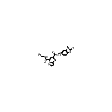 CC(C)CNC(=O)c1cc(C(=O)NCc2ccc3oc(=O)n(C)c3c2)nc2ccnn12